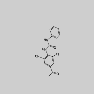 CC(=O)c1cc(Cl)c(NC(=O)Nc2ccccc2)c(Cl)c1